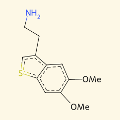 COc1cc2scc(CCN)c2cc1OC